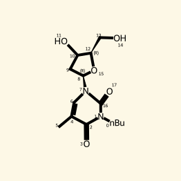 CCCCn1c(=O)c(C)cn([C@H]2CC(O)[C@@H](CO)O2)c1=O